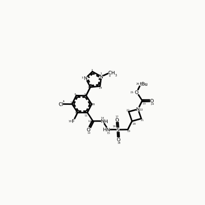 Cn1cnc(-c2cc(Cl)c(F)c(C(=O)NNS(=O)(=O)CC3CN(C(=O)OC(C)(C)C)C3)c2)c1